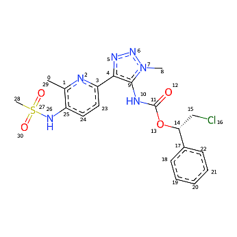 Cc1nc(-c2nnn(C)c2NC(=O)O[C@H](CCl)c2ccccc2)ccc1NS(C)(=O)=O